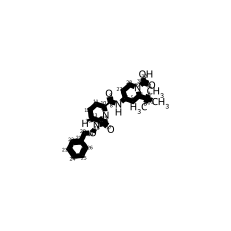 CC(C)(C)C1CC(NC(=O)[C@@H]2CC[C@@H]3CN2C(=O)N3OCc2ccccc2)CCN1C(=O)O